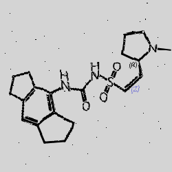 CN1CCC[C@@H]1/C=C\S(=O)(=O)NC(=O)Nc1c2c(cc3c1CCC3)CCC2